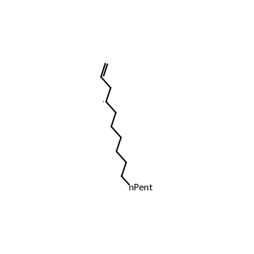 C=CC[CH]CCCCCCCCCCC